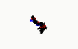 CCCCN(OS(=O)(=O)ON1C(=O)N2C[C@H]1CC[C@H]2c1nnc([C@H]2CC[C@H](NC(=O)OC(C)(C)C)CC2)o1)C(CCC)(CCCC)CCCC